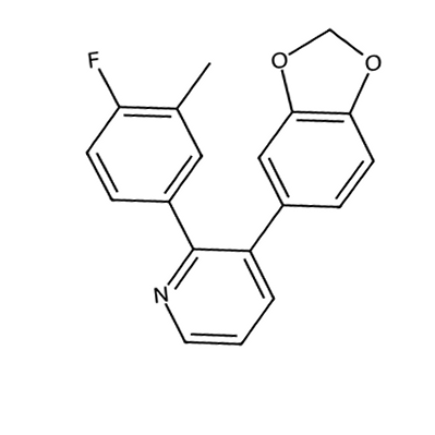 Cc1cc(-c2ncccc2-c2ccc3c(c2)OCO3)ccc1F